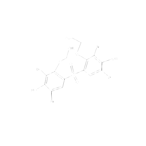 CCOc1c(S(=O)(=O)c2cc(Br)c(O)c(Br)c2OCC)cc(Br)c(O)c1Br